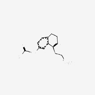 CCC(=O)Oc1ccc2c(c1)C(CCNC(C)=O)=CCC2